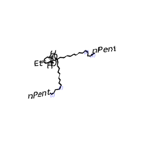 CCCCC/C=C\C/C=C\CCCCCCCCC1(CCCCCCCC/C=C\C/C=C\CCCCC)O[C@@H]2CC[C@@H](CC)C[C@H]2O1